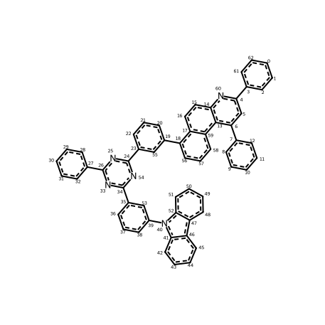 c1ccc(-c2cc(-c3ccccc3)c3c(ccc4c(-c5cccc(-c6nc(-c7ccccc7)nc(-c7cccc(-n8c9ccccc9c9ccccc98)c7)n6)c5)cccc43)n2)cc1